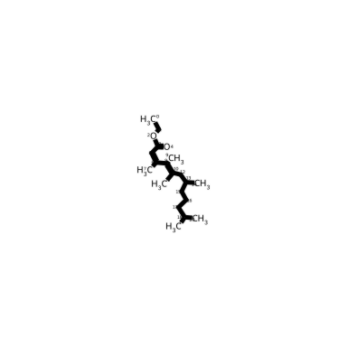 CCOC(=O)C=C(C)C(C)=C(C)CC(C)CCCC(C)C